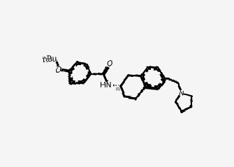 CCCCOc1ccc(C(=O)N[C@H]2CCc3cc(CN4CCCC4)ccc3C2)cc1